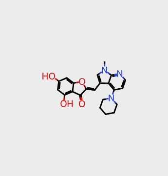 Cn1cc(C=C2Oc3cc(O)cc(O)c3C2=O)c2c(N3CCCCC3)ccnc21